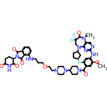 COc1cc(C(=O)N2CCC(N3CCN(CCOCCCNc4cccc5c4C(=O)N(C4CCC(=O)NC4=O)C5=O)CC3)CC2)c(F)cc1Nc1ncc2c(n1)N(C1CCCC1)CC(F)(F)C(=O)N2C